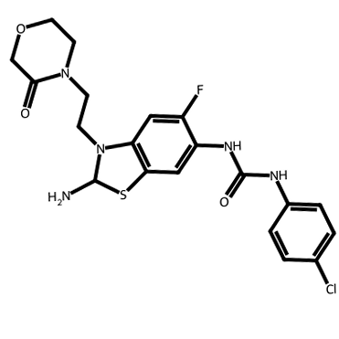 NC1Sc2cc(NC(=O)Nc3ccc(Cl)cc3)c(F)cc2N1CCN1CCOCC1=O